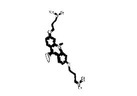 CCN(CC)CCCOc1ccc2c(=O)c3ccc(OCCCN(CC)CC)cc3n(C)c2c1